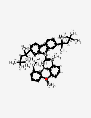 COc1cccc(OC)c1P(NC(=O)n1c2cc(C(C)(C)CC(C)(C)C)ccc2c2ccc(C(C)(C)CC(C)(C)C)cc21)c1c(OC)cccc1OC